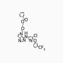 O=C(OCCOCCn1ccc2ncnc(Nc3cnc(Oc4cccc(C(F)(F)F)c4)c(Cl)c3)c21)c1ccccc1